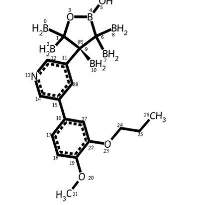 BC1(B)OB(O)C(B)(B)[C@]1(B)c1cncc(-c2ccc(OC)c(OCCC)c2)c1